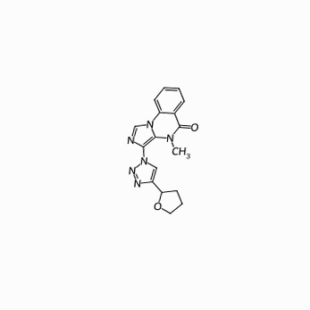 Cn1c(=O)c2ccccc2n2cnc(-n3cc(C4CCCO4)nn3)c12